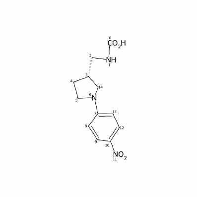 O=C(O)NC[C@H]1CCN(c2ccc([N+](=O)[O-])cc2)C1